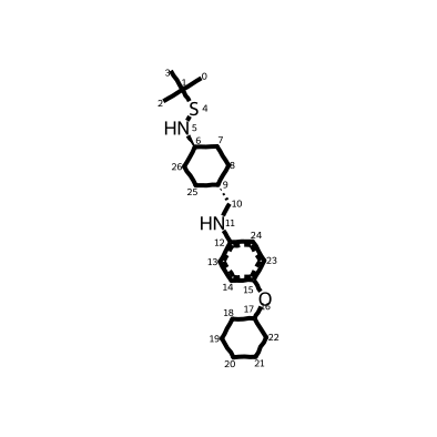 CC(C)(C)SN[C@H]1CC[C@H](CNc2ccc(OC3CCCCC3)cc2)CC1